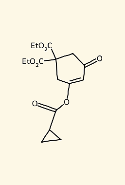 CCOC(=O)C1(C(=O)OCC)CC(=O)C=C(OC(=O)C2CC2)C1